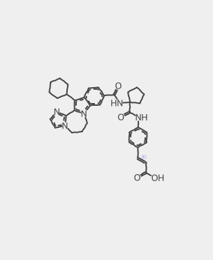 O=C(O)/C=C/c1ccc(NC(=O)C2(NC(=O)c3ccc4c(C5CCCCC5)c5n(c4c3)CCCn3ccnc3-5)CCCC2)cc1